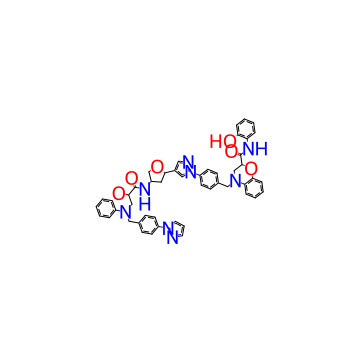 O=C(Nc1ccccc1O)C1CN(Cc2ccc(-n3cc(C4CC(NC(=O)C5CN(Cc6ccc(-n7cccn7)cc6)c6ccccc6O5)CO4)cn3)cc2)c2ccccc2O1